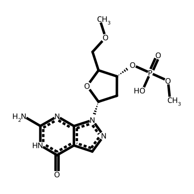 COCC1O[C@@H](n2ncc3c(=O)[nH]c(N)nc32)C[C@H]1OP(=O)(O)OC